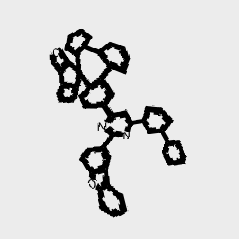 c1ccc(-c2cccc(-c3cc(-c4ccc5c(c4)-c4ccccc4-c4ccccc4C54c5ccccc5-c5ccccc54)nc(-c4ccc5oc6ccccc6c5c4)n3)c2)cc1